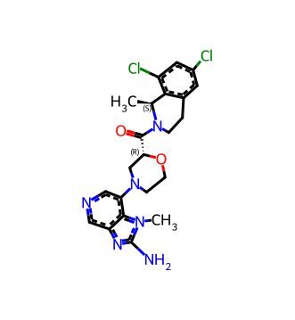 C[C@H]1c2c(Cl)cc(Cl)cc2CCN1C(=O)[C@H]1CN(c2cncc3nc(N)n(C)c23)CCO1